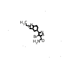 CCn1cc2cc(-c3nsc(C(N)=O)c3Br)ccc2n1